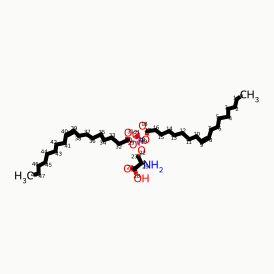 CCCCCCCC/C=C\CCCCCCCC(=O)OP(=O)(OC[C@H](N)C(=O)O)OC(=O)CCCCCCC/C=C\CCCCCCCC